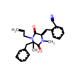 C=CCN1C(=O)/C(=C/c2ccccc2C#N)N(C)C(=O)C1(C)Cc1ccccc1